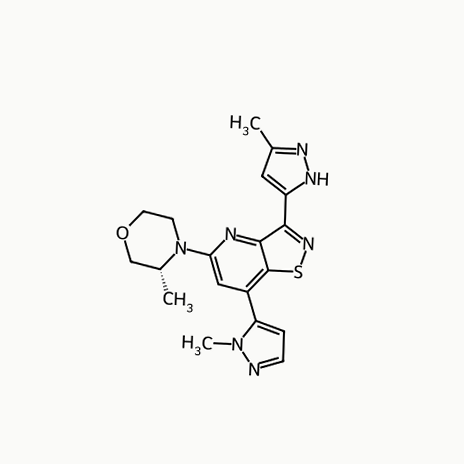 Cc1cc(-c2nsc3c(-c4ccnn4C)cc(N4CCOC[C@H]4C)nc23)[nH]n1